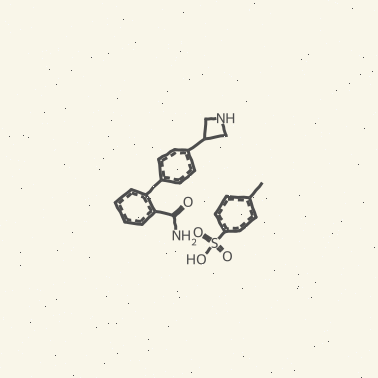 Cc1ccc(S(=O)(=O)O)cc1.NC(=O)c1ccccc1-c1ccc(C2CNC2)cc1